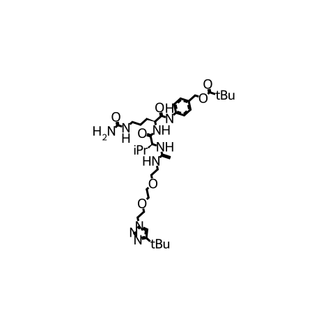 C=C(NCCOCCOCCn1cc(C(C)(C)C)nn1)N[C@H](C(=O)N[C@@H](CCCNC(N)=O)C(=O)Nc1ccc(COC(=O)C(C)(C)C)cc1)C(C)C